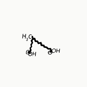 CCC(CCCCCCCCCCCC(=O)O)CCCCCCC(=O)O